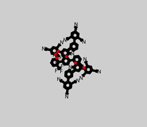 N#Cc1cc(C#N)c(-c2ccc3c(c2)c2cc(-c4c(C#N)cc(C#N)cc4C#N)ccc2n3-c2ccc(C#N)cc2-c2ccc(-c3c(C(F)(F)F)cccc3C(F)(F)F)cc2-n2c3ccc(-c4c(C#N)cc(C#N)cc4C#N)cc3c3cc(-c4c(C#N)cc(C#N)cc4C#N)ccc32)c(C#N)c1